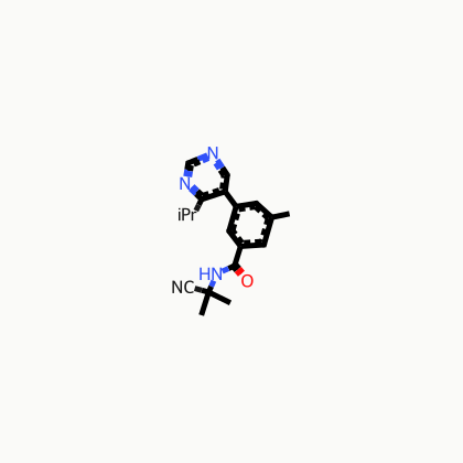 Cc1cc(C(=O)NC(C)(C)C#N)cc(-c2cncnc2C(C)C)c1